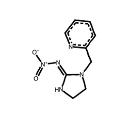 O=[N+]([O-])/N=C1\NCCN1Cc1ccccn1